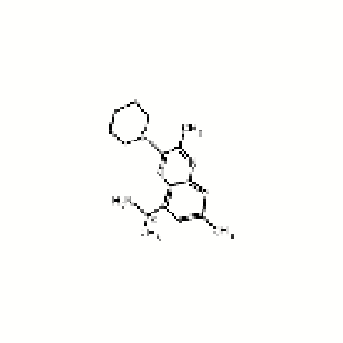 Cc1cc([C@@H](C)N)c2nc(N3CCCCC3)c(C)nc2c1